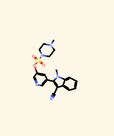 CN1CCN(S(=O)(=O)Oc2cncc(-c3c(C#N)c4ccccc4n3C)c2)CC1